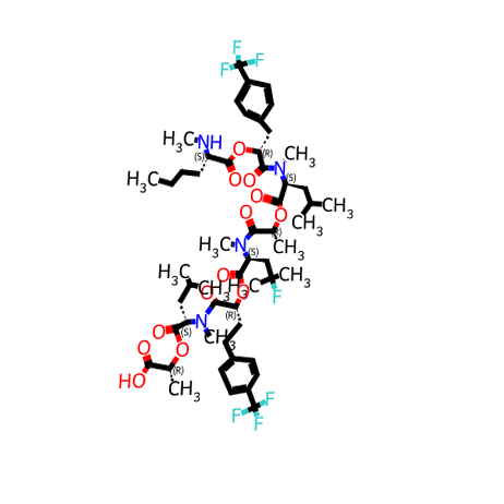 CCCC[C@H](NC)C(=O)O[C@H](Cc1ccc(C(F)(F)F)cc1)C(=O)N(C)[C@@H](CC(C)C)C(=O)O[C@H](C)C(=O)N(C)[C@@H](CC(C)(C)F)C(=O)O[C@H](CCc1ccc(C(F)(F)F)cc1)C(=O)N(C)[C@@H](CC(C)C)C(=O)O[C@H](C)C(=O)O